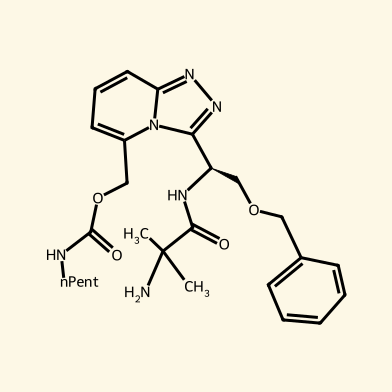 CCCCCNC(=O)OCc1cccc2nnc([C@@H](COCc3ccccc3)NC(=O)C(C)(C)N)n12